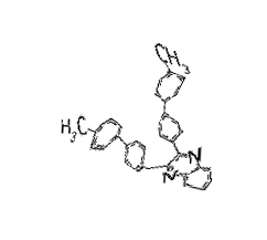 Cc1ccc(-c2ccc(-c3nc4ccccc4nc3-c3ccc(-c4ccc(C)cc4)cc3)cc2)cc1